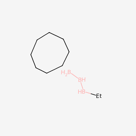 BBBCC.C1CCCCCCC1